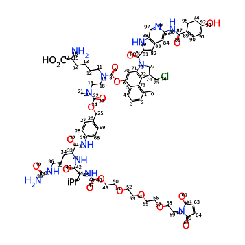 Cc1cccc2c(OC(=O)N(CCCC[C@H](N)C(=O)O)CCN(C)C(=O)OCc3ccc(NC(=O)[C@H](CCCNC(N)=O)NC(=O)[C@@H](NC(=O)OCCOCCOCCOCCN4C(=O)C=CC4=O)C(C)C)cc3)cc3c(c12)[C@H](CCl)CN3C(=O)c1cc2cc(NC(=O)C3=CC=C(O)CC3)ncc2[nH]1